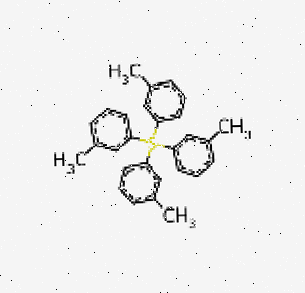 Cc1cccc(S(c2cccc(C)c2)(c2cccc(C)c2)c2cccc(C)c2)c1